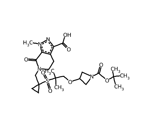 Cn1nc(C(=O)O)c2c1C(=O)N(CC1(S(=O)(=O)C(C)(C)COC3CN(C(=O)OC(C)(C)C)C3)CC1)CC2